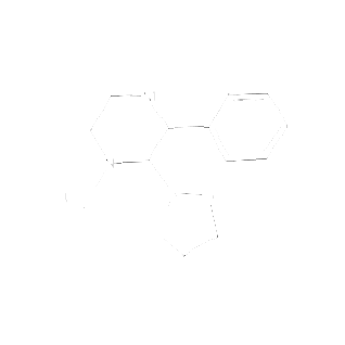 O=C(O)N1CCNC(c2ccccc2)C1B1OCCO1